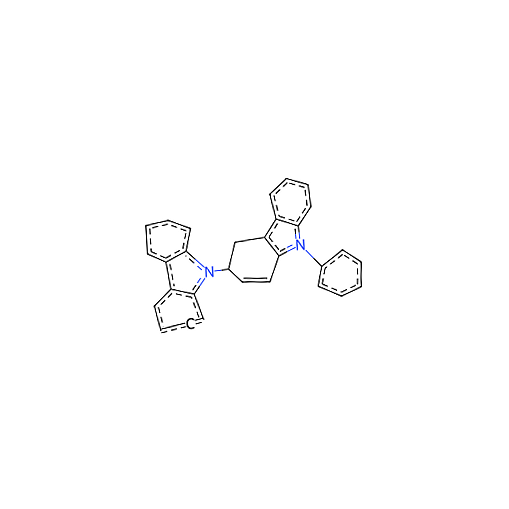 C1=CC(n2c3ccccc3c3ccccc32)Cc2c1n(-c1ccccc1)c1ccccc21